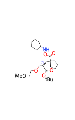 COCCOC/C(=C/C1(C(=O)ONC2CCCCC2)CCCC1)C(=O)OC(C)(C)C